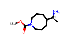 C[C@H](N)C1CCCN(C(=O)OC(C)(C)C)CCC1